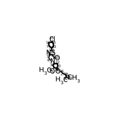 COc1cc(N2CCc3nc(-c4ccc(Cl)cc4)sc3C2=O)ccc1OCCCN(C)C